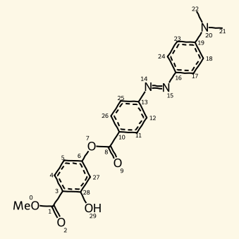 COC(=O)c1ccc(OC(=O)c2ccc(/N=N/c3ccc(N(C)C)cc3)cc2)cc1O